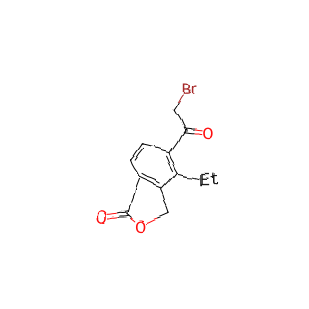 CCc1c(C(=O)CBr)ccc2c1COC2=O